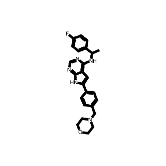 CC(Nc1ncnc2[nH]c(-c3ccc(CN4CCOCC4)cc3)cc12)c1ccc(F)cc1